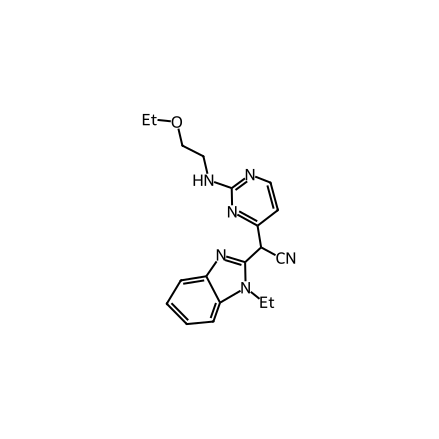 CCOCCNc1nccc(C(C#N)c2nc3ccccc3n2CC)n1